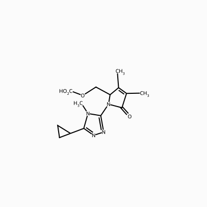 CC1=C(C)C(COC(=O)O)N(c2nnc(C3CC3)n2C)C1=O